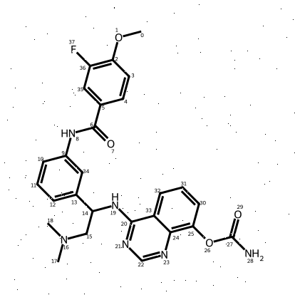 COc1ccc(C(=O)Nc2cccc(C(CN(C)C)Nc3ncnc4c(OC(N)=O)cccc34)c2)cc1F